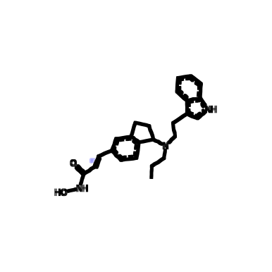 CCCN(CCc1c[nH]c2ccccc12)C1CCc2cc(/C=C/C(=O)NO)ccc21